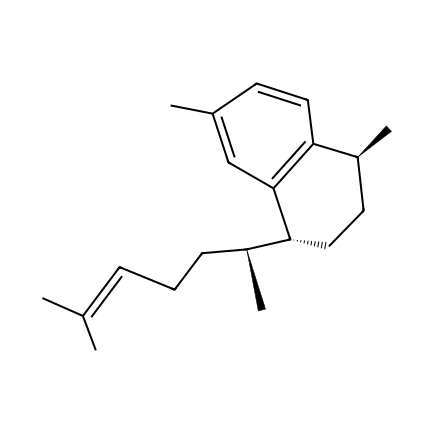 CC(C)=CCC[C@H](C)[C@H]1CC[C@H](C)c2ccc(C)cc21